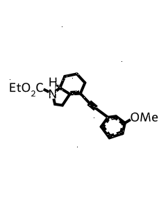 CCOC(=O)N1CCC2=C(C#Cc3cccc(OC)c3)CCC[C@@H]21